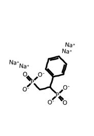 O=P([O-])([O-])CC(c1ccccc1)P(=O)([O-])[O-].[Na+].[Na+].[Na+].[Na+]